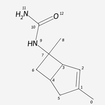 CC1=CC2C(C1)CC2(C)NC(N)=O